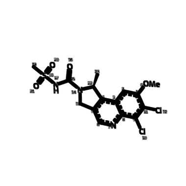 COc1cc2c3c(cnc2c(Cl)c1Cl)CN(C(=O)NS(C)(=O)=O)[C@H]3C